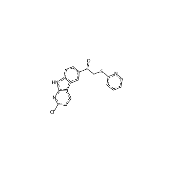 O=C(CSc1ccccn1)c1ccc2[nH]c3nc(Cl)ccc3c2c1